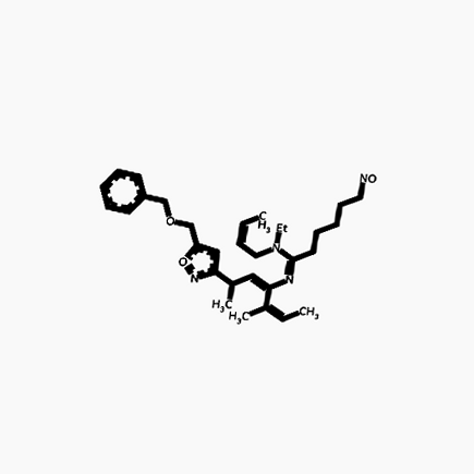 C/C=C\CN(CC)\C(CCCCCN=O)=N/C(=C/C(C)c1cc(COCc2ccccc2)on1)C(/C)=C\C